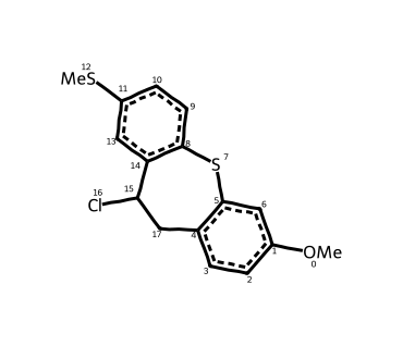 COc1ccc2c(c1)Sc1ccc(SC)cc1C(Cl)C2